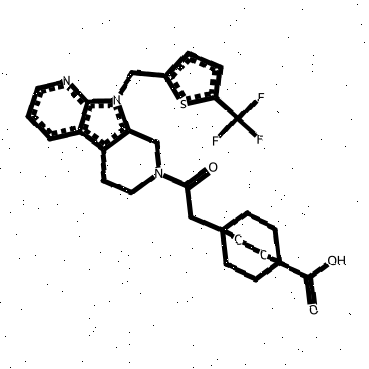 O=C(CC12CCC(C(=O)O)(CC1)CC2)N1CCc2c(n(Cc3ccc(C(F)(F)F)s3)c3ncccc23)C1